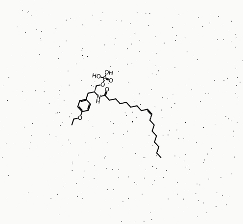 CCCCCCCC/C=C\CCCCCCCC(=O)N[C@H](COP(=O)(O)O)Cc1ccc(OCC)cc1